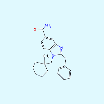 CC1(Cn2c(Cc3ccccc3)nc3cc(C(N)=O)ccc32)CCCCC1